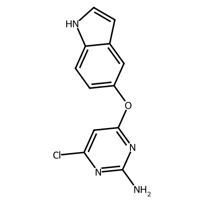 Nc1nc(Cl)cc(Oc2ccc3[nH]ccc3c2)n1